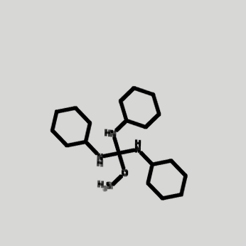 [SiH3]OC(NC1CCCCC1)(NC1CCCCC1)NC1CCCCC1